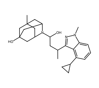 CC(CC(O)N1C2CC3(C)CC1CC(O)(C2)C3)c1nn(C)c2cccc(C3CC3)c12